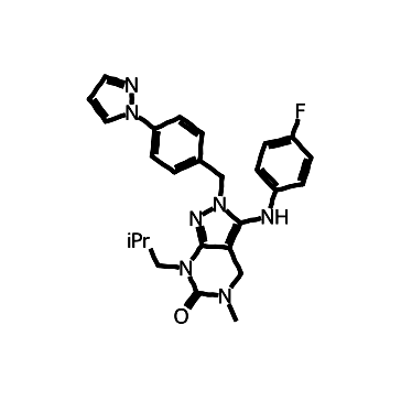 CC(C)CN1C(=O)N(C)Cc2c1nn(Cc1ccc(-n3cccn3)cc1)c2Nc1ccc(F)cc1